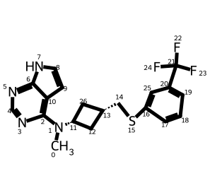 CN(c1ncnc2[nH]ccc12)[C@H]1C[C@@H](CSc2cccc(C(F)(F)F)c2)C1